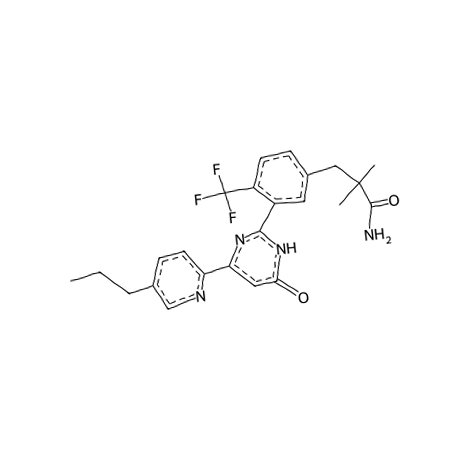 CCCc1ccc(-c2cc(=O)[nH]c(-c3cc(CC(C)(C)C(N)=O)ccc3C(F)(F)F)n2)nc1